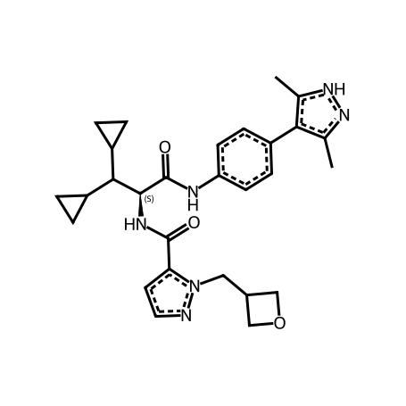 Cc1n[nH]c(C)c1-c1ccc(NC(=O)[C@@H](NC(=O)c2ccnn2CC2COC2)C(C2CC2)C2CC2)cc1